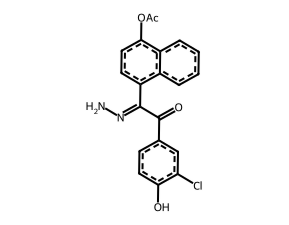 CC(=O)Oc1ccc(/C(=N\N)C(=O)c2ccc(O)c(Cl)c2)c2ccccc12